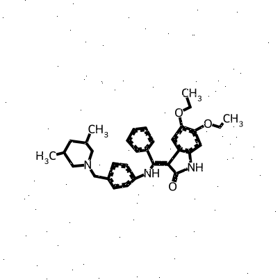 CCOc1cc2c(cc1OCC)/C(=C(/Nc1ccc(CN3CC(C)CC(C)C3)cc1)c1ccccc1)C(=O)N2